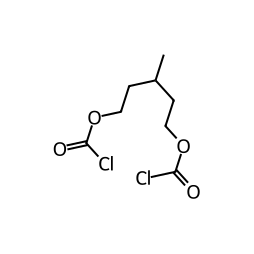 CC(CCOC(=O)Cl)CCOC(=O)Cl